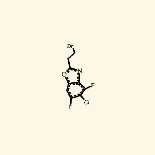 Fc1cc2oc(CCBr)nc2c(F)c1Cl